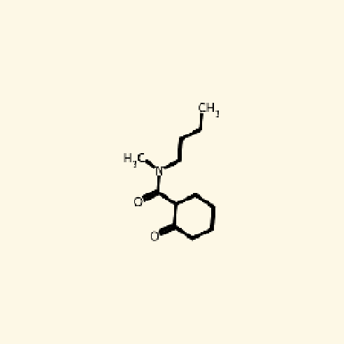 CCCCN(C)C(=O)C1CCCCC1=O